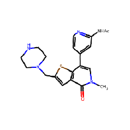 CC(=O)Nc1cc(-c2cn(C)c(=O)c3cc(CN4CCNCC4)sc23)ccn1